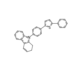 C1=Cc2c(n(-c3ccc(-c4ccc(-c5ccccc5)s4)cc3)c3ccccc23)CC1